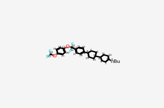 CCCCC1CCC(C2CCC(c3ccc(C(F)(F)Oc4ccc(OC(F)F)cc4)cc3)CC2)CC1